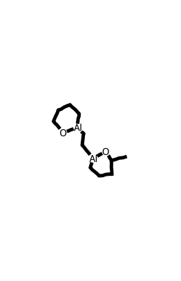 CC1CC[CH2][Al]([CH2][CH2][Al]2[CH2]CCC[O]2)[O]1